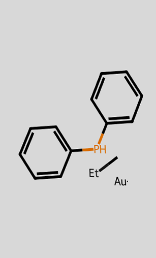 CCC.[Au].c1ccc(Pc2ccccc2)cc1